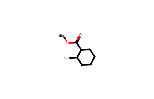 CC(C)(C)OC(=O)C1CCCCC1C(C)(C)C